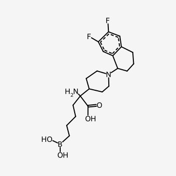 NC(CCCCB(O)O)(C(=O)O)C1CCN(C2CCCc3cc(F)c(F)cc32)CC1